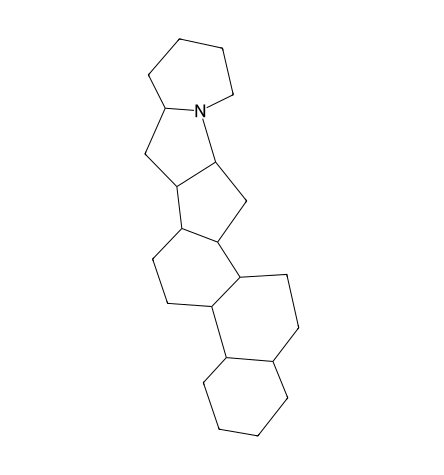 C1CCC2C(C1)CCC1C2CCC2C1CC1C2CC2CCCCN21